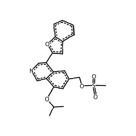 CC(C)Oc1cc(COS(C)(=O)=O)cc2c(-c3cc4ccccc4o3)cncc12